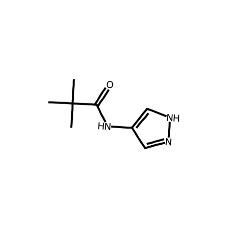 CC(C)(C)C(=O)Nc1cn[nH]c1